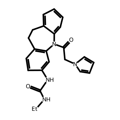 CCNC(=O)Nc1ccc2c(c1)N(C(=O)Cn1cccc1)c1ccccc1CC2